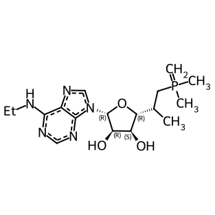 C=P(C)(C)CC(C)[C@H]1O[C@@H](n2cnc3c(NCC)ncnc32)[C@H](O)[C@@H]1O